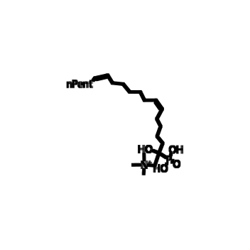 CCCCC/C=C\CCCCC/C=C\CCCCC(O)(C[N+](C)(C)C)P(=O)(O)O